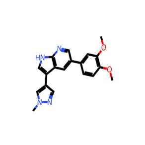 COc1ccc(-c2cnc3[nH]cc(-c4cnn(C)c4)c3c2)cc1OC